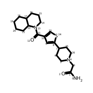 NC(=O)CN1CCC(c2cc(C(=O)N3CCCC4CCCCC43)cs2)CC1